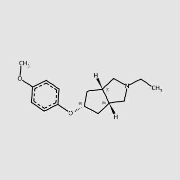 CCN1C[C@H]2C[C@@H](Oc3ccc(OC)cc3)C[C@H]2C1